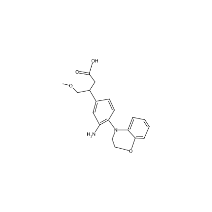 COCC(CC(=O)O)c1ccc(N2CCOc3ccccc32)c(N)c1